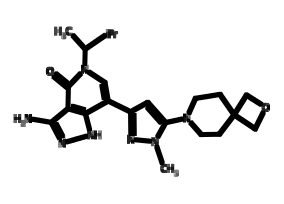 CC(C)C(C)n1cc(-c2cc(N3CCC4(CC3)COC4)n(C)n2)c2[nH]nc(N)c2c1=O